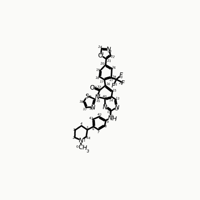 CN1CCCC(c2ccc(Nc3ncc4cc(-c5ccc(-c6cnco6)cc5C(F)(F)F)c(=O)n(-c5nccs5)c4n3)cc2)C1